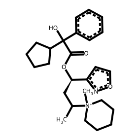 CC(C[C@@H](OC(=O)C(O)(c1ccccc1)C1CCCC1)c1ccon1)[N+]1(C)CCCCC1